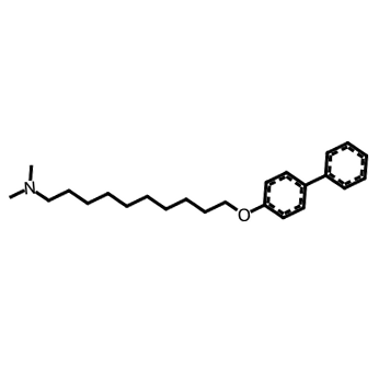 CN(C)CCCCCCCCCCOc1ccc(-c2ccccc2)cc1